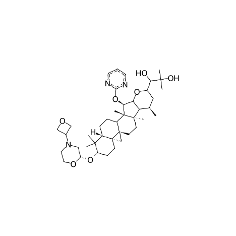 C[C@@H]1CC(C(O)C(C)(C)O)OC2C1[C@@]1(C)CC[C@@]34C[C@@]35CC[C@H](O[C@H]3CN(C6COC6)CCO3)C(C)(C)[C@@H]5CCC4[C@]1(C)[C@H]2Oc1ncccn1